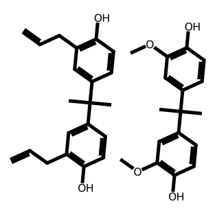 C=CCc1cc(C(C)(C)c2ccc(O)c(CC=C)c2)ccc1O.COc1cc(C(C)(C)c2ccc(O)c(OC)c2)ccc1O